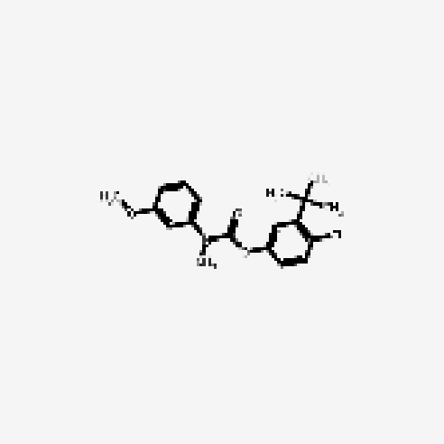 COc1cccc(N(C)C(=O)Oc2ccc(Cl)c(C(C)(C)C)c2)c1